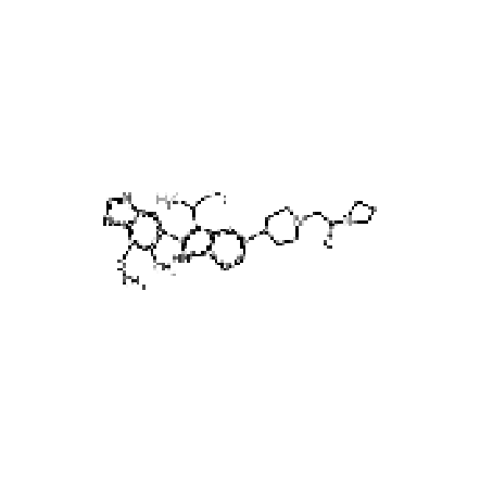 COc1c(C)c(-c2[nH]c3ccc(C4CCN(CC(=O)N5CCC5)CC4)cc3c2C(C)C)cn2ncnc12